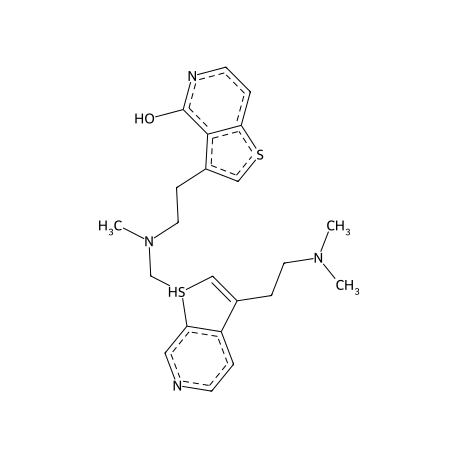 CN(C)CCC1=C[SH](CN(C)CCc2csc3ccnc(O)c23)c2cnccc21